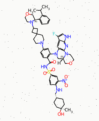 CC(C)c1ccccc1[C@@H]1COCCN1C1CC2(CCN(c3ccc(C(=O)NS(=O)(=O)c4ccc(NC[C@H]5CC[C@](C)(O)CC5)c([N+](=O)[O-])c4)c(N4C[C@H]5COCCN5c5nc6[nH]cc(F)c6cc54)c3)CC2)C1